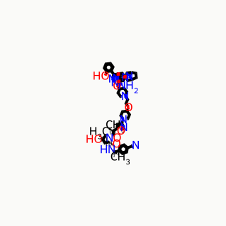 CC(C)[C@H](C(=O)N1C[C@H](O)C[C@H]1C(=O)N[C@@H](C)c1ccc(C#N)cc1)c1cc(N2CCC(OCCN3CCC(Oc4cc(N5C6CCC5CN(c5cc(-c7ccccc7O)nnc5N)C6)ccn4)CC3)CC2)no1